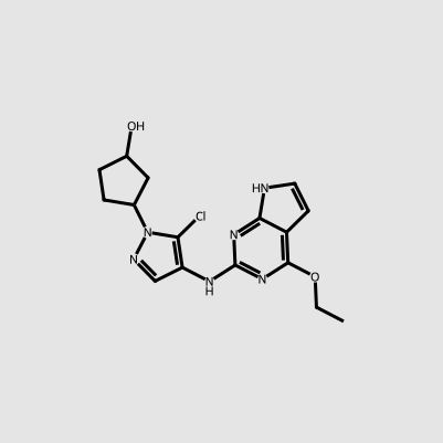 CCOc1nc(Nc2cnn(C3CCC(O)C3)c2Cl)nc2[nH]ccc12